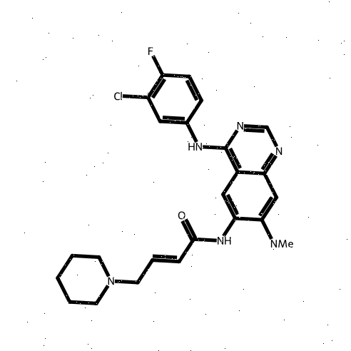 CNc1cc2ncnc(Nc3ccc(F)c(Cl)c3)c2cc1NC(=O)C=CCN1CCCCC1